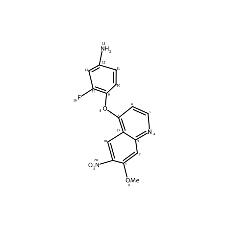 COc1cc2nccc(Oc3ccc(N)cc3F)c2cc1[N+](=O)[O-]